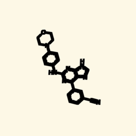 N#Cc1cccc(-c2nc(Nc3ccc(N4CCOCC4)cc3)nc3[nH]cnc23)c1